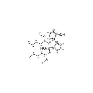 CCCCC(CC)CC(O)(CC(CC)CCCC)c1ccsc1-c1sccc1O